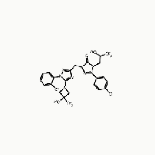 O=c1n(Cc2nc(N3CC(O)(C(F)(F)F)C3)n(-c3ccccc3Cl)n2)nc(-c2ccc(Cl)cc2)n1CC(O)C(F)(F)F